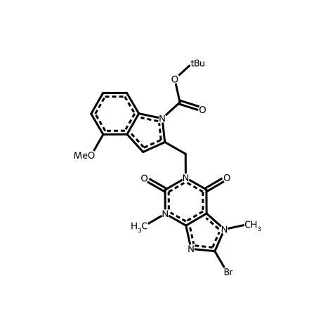 COc1cccc2c1cc(Cn1c(=O)c3c(nc(Br)n3C)n(C)c1=O)n2C(=O)OC(C)(C)C